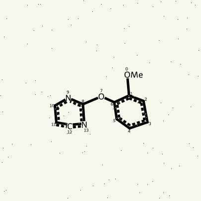 COc1ccccc1Oc1n[c]ccn1